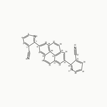 N#Cc1cccnc1-c1cc2ccc3cc(-c4ncccc4C#N)cc4ccc(c1)c2c34